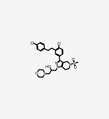 CS(=O)(=O)N1CCc2c(c(-c3ccc(Cl)c(CCc4ccc(Cl)cc4)c3)nn2CC(O)CN2CCOCC2)C1